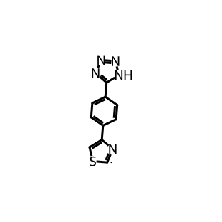 [c]1nc(-c2ccc(-c3nnn[nH]3)cc2)cs1